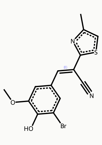 COc1cc(/C=C(\C#N)c2nc(C)cs2)cc(Br)c1O